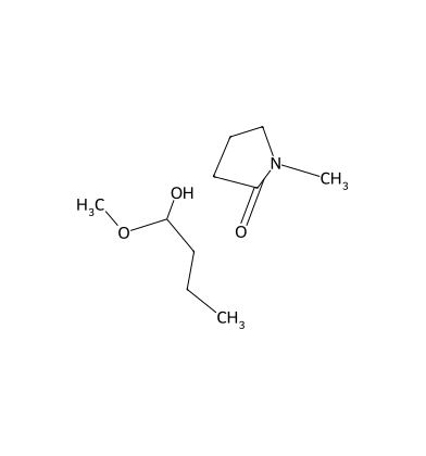 CCCC(O)OC.CN1CCCC1=O